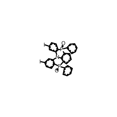 O=P1(c2ccccc2)c2ccc(I)cc2N2c3cc(I)ccc3P(=O)(c3ccccc3)c3cccc1c32